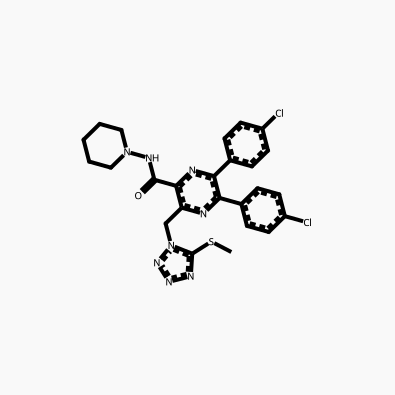 CSc1nnnn1Cc1nc(-c2ccc(Cl)cc2)c(-c2ccc(Cl)cc2)nc1C(=O)NN1CCCCC1